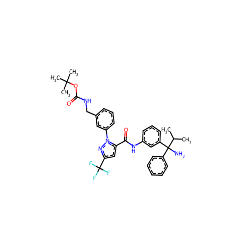 CC(C)C(N)(c1ccccc1)c1cccc(NC(=O)c2cc(C(F)(F)F)nn2-c2cccc(CNC(=O)OC(C)(C)C)c2)c1